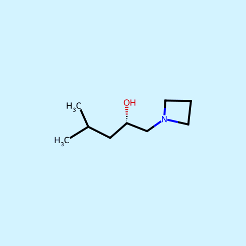 CC(C)C[C@H](O)CN1CCC1